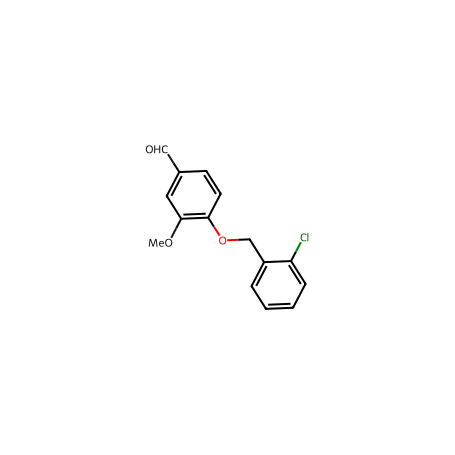 COc1cc(C=O)ccc1OCc1ccccc1Cl